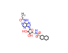 CC(=O)Nc1ncnc2c1ncn2[C@@H]1O[C@H](CNS(=O)(=O)c2ccc3ccccc3c2)[C@H](O)[C@H]1O